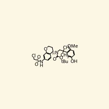 COc1ccc(O)cc1C(C)(C)CN(C(=O)OC(C)(C)C)[C@H]1CCOc2cc(NS(=O)(=O)CCl)ccc21